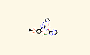 CN1CCC[C@@H]1Cn1cc(NC(O)c2cnn3cccnc23)c(-c2cc(S(=O)(=O)C3CC3)ccc2OC(F)F)n1